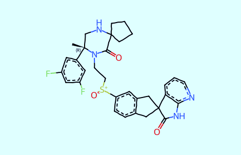 C[C@@]1(c2cc(F)cc(F)c2)CNC2(CCCC2)C(=O)N1CC[S+]([O-])c1ccc2c(c1)CC1(C2)C(=O)Nc2ncccc21